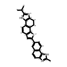 Cc1nc2ccc3cc(-c4cc5ccc6c(c5s4)CCc4nc(C(C)C)[nH]c4-6)ccc3c2[nH]1